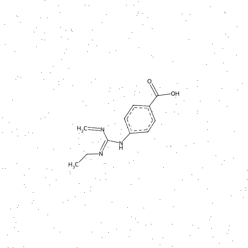 C=N/C(=N\CC)Nc1ccc(C(=O)O)cc1